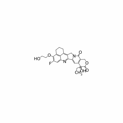 CC[C@@]1(O)C(=O)OCc2c1cc1n(c2=O)Cc2c-1nc1cc(F)c(OCCO)c3c1c2CCC3